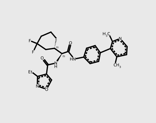 CCc1nocc1C(=O)N[C@H](C(=O)Nc1ccc(-c2c(C)ccnc2C)cc1)[C@H]1CCCC(F)(F)C1